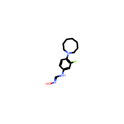 O/N=C/Nc1ccc(N2CCCCCCC2)c(F)c1